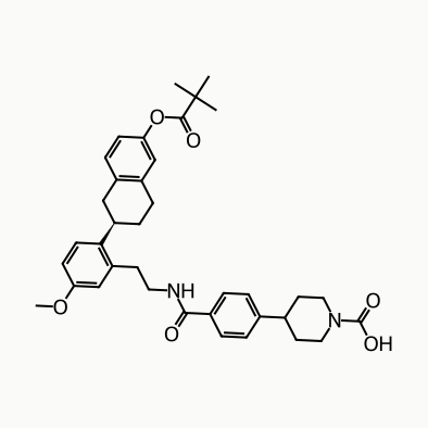 COc1ccc([C@@H]2CCc3cc(OC(=O)C(C)(C)C)ccc3C2)c(CCNC(=O)c2ccc(C3CCN(C(=O)O)CC3)cc2)c1